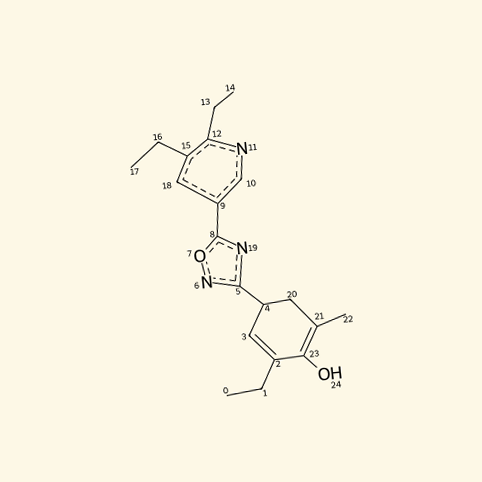 CCC1=CC(c2noc(-c3cnc(CC)c(CC)c3)n2)CC(C)=C1O